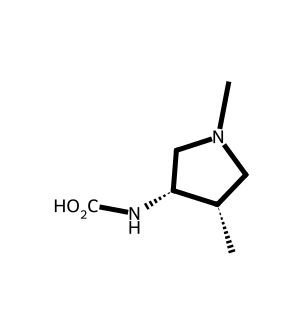 C[C@H]1CN(C)C[C@H]1NC(=O)O